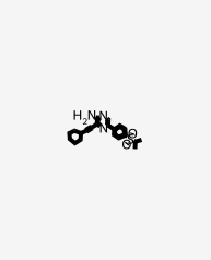 CC(C)S(=O)(=O)c1ccc(-c2cnc(N)c(C#CC3CCCCC3)n2)cc1